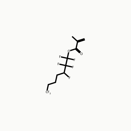 C=C(C)C(=O)OC(F)(F)C(F)(F)C(F)CCCC(F)(F)F